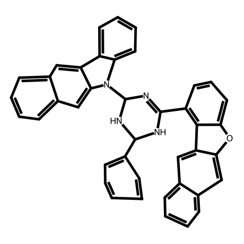 c1ccc(C2NC(c3cccc4oc5cc6ccccc6cc5c34)=NC(n3c4ccccc4c4cc5ccccc5cc43)N2)cc1